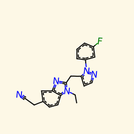 CCn1c(Cc2ccnn2-c2cccc(F)c2)nc2cc(CC#N)ccc21